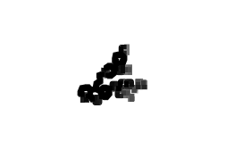 CCOC(=O)C(C)Oc1ccc2c(c1)C(=CCCN1CCC(O)(c3ccc(Cl)cc3)CC1)C1C=CC=NC1CO2